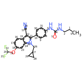 CCCNC(=O)Nc1ccc(-c2c(C#N)c3ccc(OC(F)F)cc3n2CC2CC2)cc1